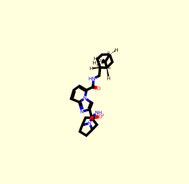 CC1(C)[C@H]2CC[C@@H](CNC(=O)c3cccc4nc(C(=O)N5C6CCC5CC(N)C6)cn34)[C@H]1C2